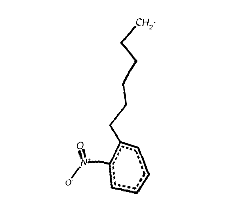 [CH2]CCCCCc1ccccc1[N+](=O)[O-]